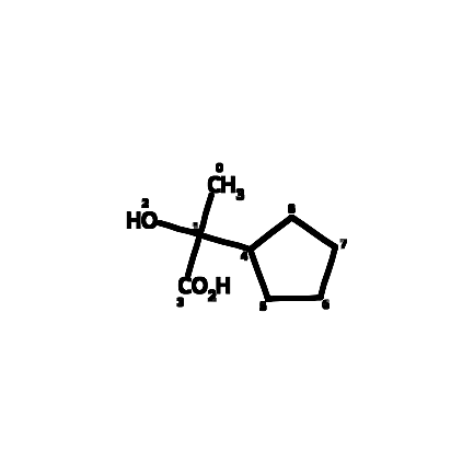 CC(O)(C(=O)O)C1CCCC1